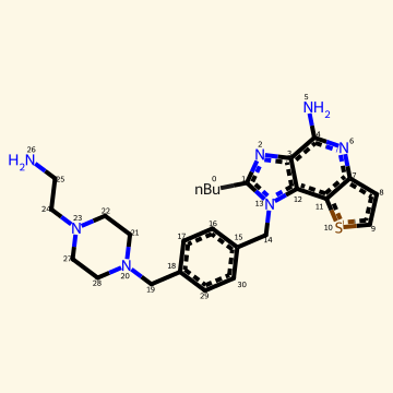 CCCCc1nc2c(N)nc3ccsc3c2n1Cc1ccc(CN2CCN(CCN)CC2)cc1